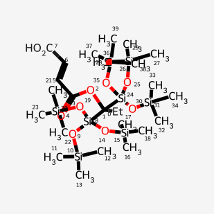 CCC(OC(=O)/C=C/C(=O)O)([Si](O[Si](C)(C)C)(O[Si](C)(C)C)O[Si](C)(C)C)[Si](O[Si](C)(C)C)(O[Si](C)(C)C)O[Si](C)(C)C